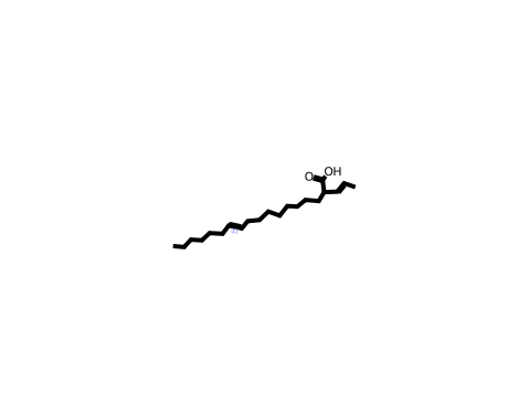 CC=CC(CCCCCCCC/C=C/CCCCCC)C(=O)O